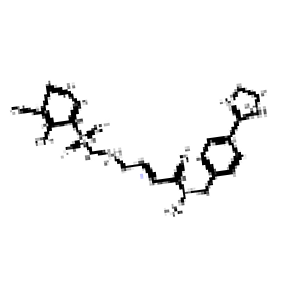 CN(Cc1ccc(C2=NCCN2)cc1)C(=O)/C=C/CNCS(=O)(=O)c1cccc(Cl)c1Cl